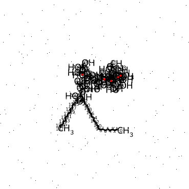 CCCCCCCC/C=C\CCCCCCCCCCCCCC(=O)N[C@@H](CO[C@@H]1OC(CO)[C@@H](O[C@@H]2OC(CO[C@@H]3OC(CO)[C@@H](O[C@@H]4OC(CO)[C@H](O[C@@H]5OC(CO)[C@H](O)[C@H](O)C5NC(C)=O)[C@H](O[C@]5(C(=O)O)CC(O)[C@@H](NC(C)=O)C([C@H](O)[C@H](O)CO)O5)C4O)[C@H](O)C3NC(C)=O)[C@H](O)[C@H](O[C@H]3OC(CO)[C@H](O)[C@H](O)C3O)C2O)[C@H](O)C1O)[C@H](O)/C=C/CCCCCCCCCCCCC